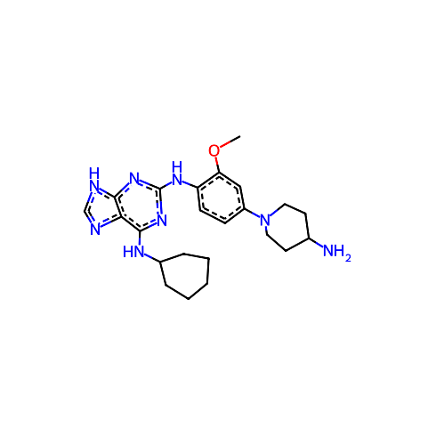 COc1cc(N2CCC(N)CC2)ccc1Nc1nc(NC2CCCCC2)c2nc[nH]c2n1